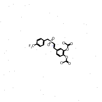 O=C(Cl)Oc1ccc(/C=C/S(=O)(=O)Cc2ccc(C(F)(F)F)cc2)cc1OC(=O)Cl